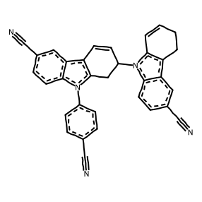 N#Cc1ccc(-n2c3c(c4cc(C#N)ccc42)C=CC(n2c4c(c5cc(C#N)ccc52)CCC=C4)C3)cc1